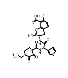 CCN1CCN(C(=O)N[C@H](C(=O)N[C@H]2Cc3ccc(F)c(C(=O)O)c3OB2O)c2ccsc2)C(=O)C1=O